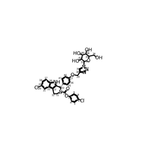 O=C(Oc1ccc(Cl)cc1)N1CCc2c([nH]c3ccc(Cl)cc23)[C@@H]1c1ccc(OCc2cn(C3OC(CO)C(O)C(O)C3O)nn2)cc1